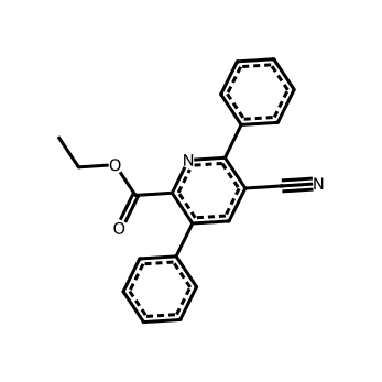 CCOC(=O)c1nc(-c2ccccc2)c(C#N)cc1-c1ccccc1